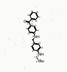 CC(C)(C)SNc1ccc(CNc2ccc(C(=O)c3ccccc3)cc2)cc1